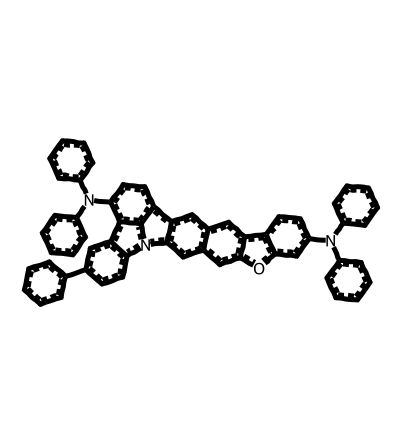 c1ccc(-c2ccc3c(c2)c2c(N(c4ccccc4)c4ccccc4)ccc4c5cc6cc7c(cc6cc5n3c42)oc2cc(N(c3ccccc3)c3ccccc3)ccc27)cc1